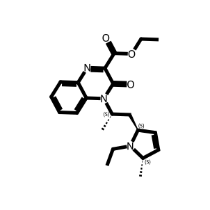 CCOC(=O)c1nc2ccccc2n([C@@H](C)C[C@H]2C=C[C@H](C)N2CC)c1=O